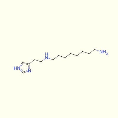 NCCCCCCCCNCCc1c[nH]cn1